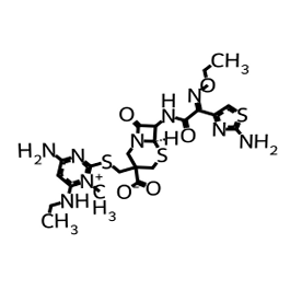 CCNc1cc(N)nc(SCC2(C(=O)[O-])CS[C@@H]3C(NC(=O)C(=NOCC)c4csc(N)n4)C(=O)N3C2)[n+]1C